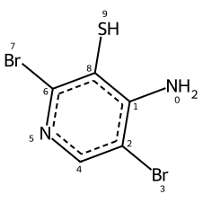 Nc1c(Br)cnc(Br)c1S